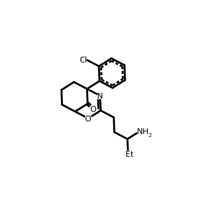 CCC(N)CCC1=NC2(c3ccccc3Cl)CCCC(O1)C2=O